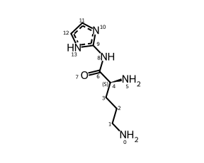 NCCC[C@H](N)C(=O)Nc1ncc[nH]1